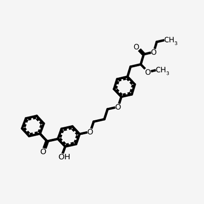 CCOC(=O)C(Cc1ccc(OCCCOc2ccc(C(=O)c3ccccc3)c(O)c2)cc1)OC